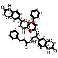 CC(CCc1ccccc1)NCC(OC(=O)/C=C\C(=O)OC(CNC(C)CCc1ccccc1)c1ccc2c(c1)OCC(=O)N2)c1ccc2c(c1)OCC(=O)N2